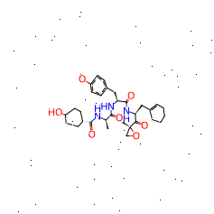 COc1ccc(C[C@H](NC(=O)[C@@H](C)NC(=O)[C@H]2CC[C@H](O)CC2)C(=O)N[C@@H](CC2=CCCCC2)C(=O)[C@@]2(C)CO2)cc1